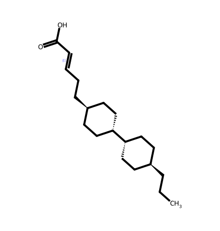 CCC[C@H]1CC[C@H]([C@H]2CC[C@H](CC/C=C/C(=O)O)CC2)CC1